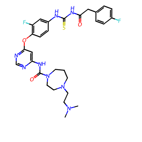 CN(C)CCN1CCCN(C(=O)Nc2cc(Oc3ccc(NC(=S)NC(=O)Cc4ccc(F)cc4)cc3F)ncn2)CC1